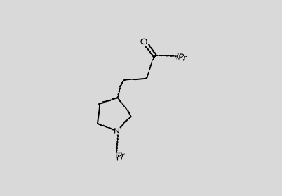 CC(C)C(=O)CCC1CCN(C(C)C)C1